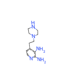 Nc1nccc(CCN2CCNCC2)c1N